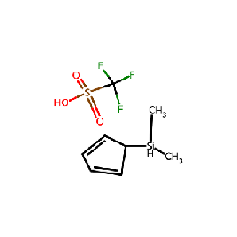 C[SiH](C)C1C=CC=C1.O=S(=O)(O)C(F)(F)F